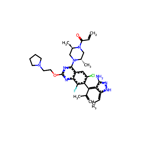 C=CC(=O)N1C[C@H](C)N(c2nc(OCCN3CCCC3)nc3c(F)c(/C(C(=C)C)=c4\c(N)n[nH]\c4=C\C)c(Cl)cc23)C[C@H]1C